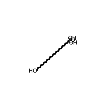 O=P(O)(O)CCCCCCCCCCCCCCCCCCCCCCO